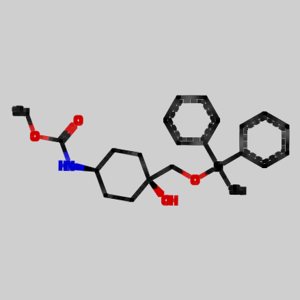 CC(C)(C)OC(=O)N[C@H]1CC[C@](O)(CO[Si](c2ccccc2)(c2ccccc2)C(C)(C)C)CC1